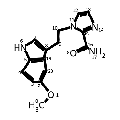 COc1ccc2[nH]cc(CCn3c[c]nc3C(N)=O)c2c1